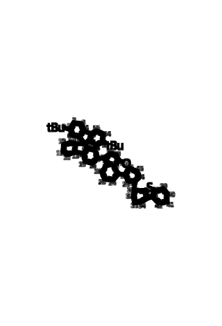 CC(C)(C)c1ccc2c(c1)C1(c3ccccc3-c3ccc(-c4ccc5c6c(cccc46)-c4cc(-c6cccc7c6sc6ccccc67)ccc4O5)cc31)c1cc(C(C)(C)C)ccc1-2